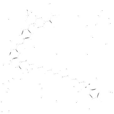 C[C@H](Nc1ncc2c(n1)N(CCOCCOCCOCCOCCNS(=O)(=O)c1ccc(N)cc1)C(=O)OC2)c1ccc([C@H](CC2CC2)N2CCN(C(=O)OC(C)(C)C)CC2)cc1